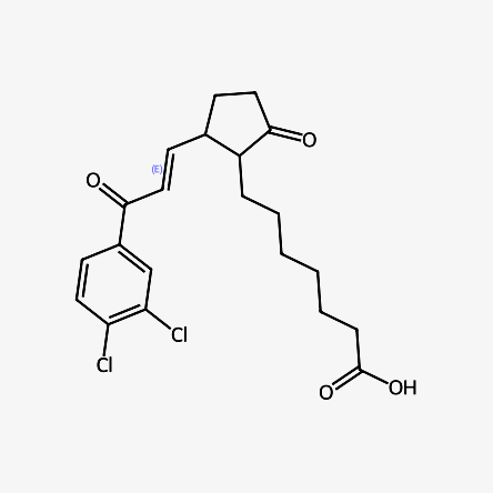 O=C(O)CCCCCCC1C(=O)CCC1/C=C/C(=O)c1ccc(Cl)c(Cl)c1